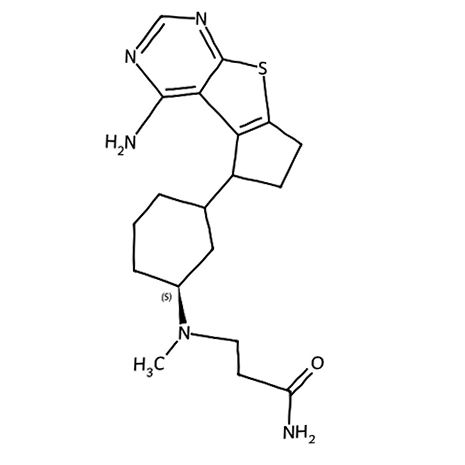 CN(CCC(N)=O)[C@H]1CCCC(C2CCc3sc4ncnc(N)c4c32)C1